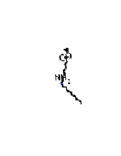 CCCCCCCC/C=C\CCCCCCCC(=O)OC1CC1.N